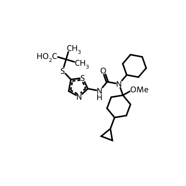 COC1(N(C(=O)Nc2ncc(SC(C)(C)C(=O)O)s2)C2CCCCC2)CCC(C2CC2)CC1